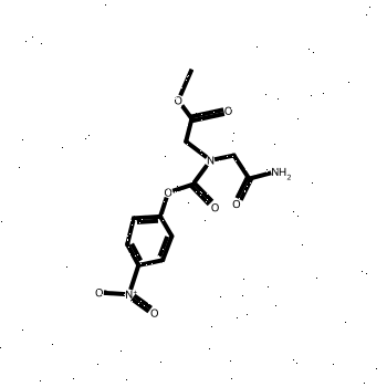 COC(=O)CN(CC(N)=O)C(=O)Oc1ccc([N+](=O)[O-])cc1